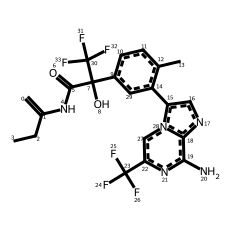 C=C(CC)NC(=O)C(O)(c1ccc(C)c(-c2cnc3c(N)nc(C(F)(F)F)cn23)c1)C(F)(F)F